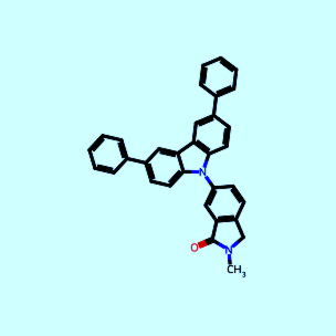 CN1Cc2ccc(-n3c4ccc(-c5ccccc5)cc4c4cc(-c5ccccc5)ccc43)cc2C1=O